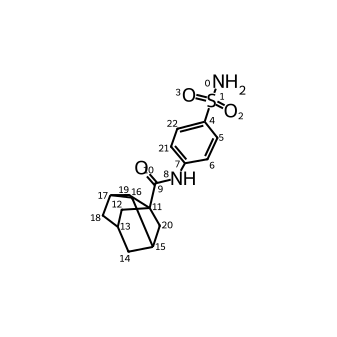 NS(=O)(=O)c1ccc(NC(=O)C23CC4CC(CC(C4)C2)C3)cc1